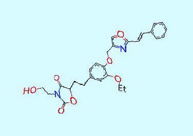 CCOc1cc(CCC2OC(=O)N(CCO)C2=O)ccc1OCc1coc(/C=C/c2ccccc2)n1